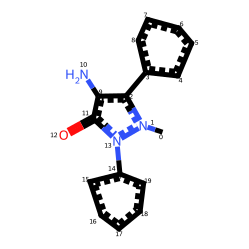 Cn1c(-c2ccccc2)c(N)c(=O)n1-c1ccccc1